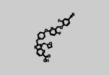 N#Cc1ccc(OCc2nc(OC3CCN(Cc4nc5ccc(C(=O)O)nc5n4C[C@@H]4CCO4)CC3)ccc2F)c(F)c1